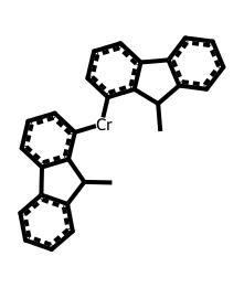 CC1c2ccccc2-c2ccc[c]([Cr][c]3cccc4c3C(C)c3ccccc3-4)c21